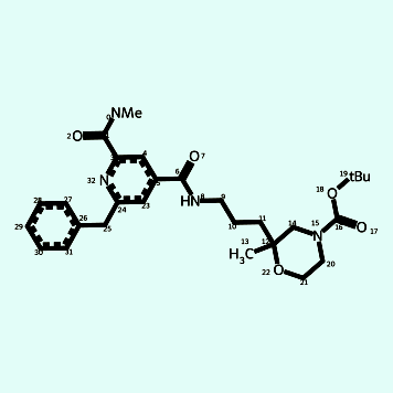 CNC(=O)c1cc(C(=O)NCCCC2(C)CN(C(=O)OC(C)(C)C)CCO2)cc(Cc2ccccc2)n1